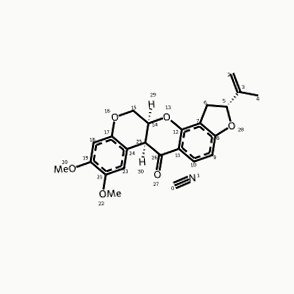 C#N.C=C(C)[C@H]1Cc2c(ccc3c2O[C@@H]2COc4cc(OC)c(OC)cc4[C@@H]2C3=O)O1